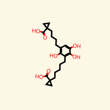 O=C(O)C1(CCCCCc2c(O)c(O)cc(CCCCC3(C(=O)O)CC3)c2O)CC1